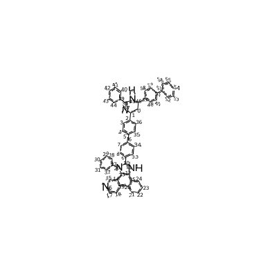 C1=C(c2ccc(-c3ccc(C4Nc5c(c6cnccc6c6ccccc56)N4c4ccccc4)cc3)cc2)N=C(c2ccccc2)NC1c1ccc(-c2ccccc2)cc1